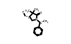 C[C@H](c1ccccc1)N1C[C@H](CF)C(C)(C)C1=O